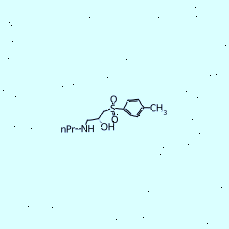 CCCNC[C@@H](O)CS(=O)(=O)c1ccc(C)cc1